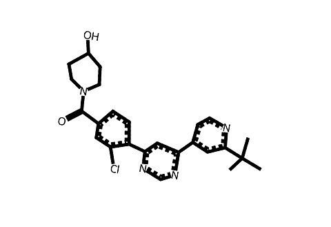 CC(C)(C)c1cc(-c2cc(-c3ccc(C(=O)N4CCC(O)CC4)cc3Cl)ncn2)ccn1